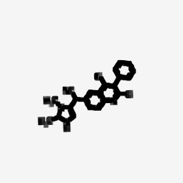 CC1NC=C(C(C#N)c2ccc3nc(Cl)c(-c4ccccc4)c(Cl)c3c2)N1C